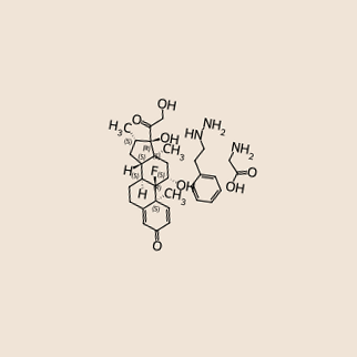 C[C@H]1C[C@H]2[C@@H]3CCC4=CC(=O)C=C[C@]4(C)[C@@]3(F)[C@@H](O)C[C@]2(C)[C@@]1(O)C(=O)CO.NCC(=O)O.NNCCc1ccccc1